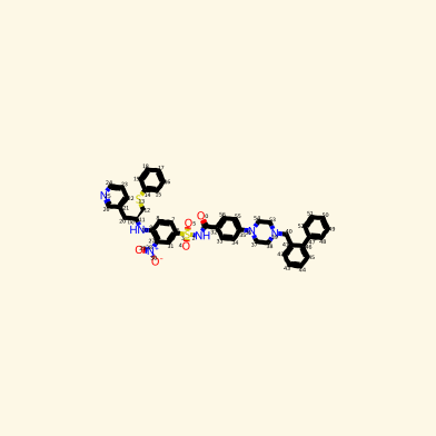 O=C(NS(=O)(=O)c1ccc(N[C@H](CSc2ccccc2)Cc2cccnc2)c([N+](=O)[O-])c1)c1ccc(N2CCN(Cc3ccccc3-c3ccccc3)CC2)cc1